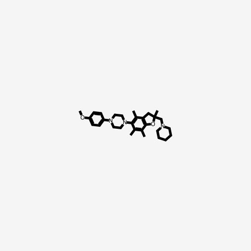 COc1ccc(N2CCN(c3c(C)c(C)c4c(c3C)CC(C)(CN3CCCCC3)O4)CC2)cc1